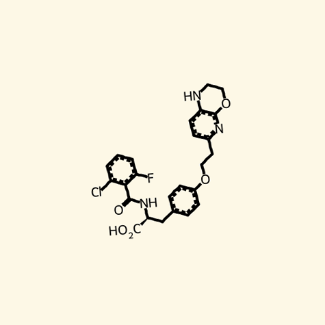 O=C(N[C@@H](Cc1ccc(OCCc2ccc3c(n2)OCCN3)cc1)C(=O)O)c1c(F)cccc1Cl